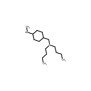 CCCCN(CCCC)CC1CCC(NC)CC1